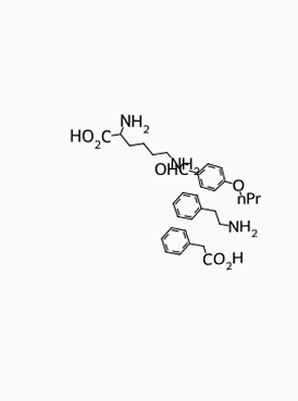 CCCOc1ccc(C=O)cc1.NCCCCC(N)C(=O)O.NCCc1ccccc1.O=C(O)Cc1ccccc1